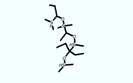 CCC(O[Si](C)(C)C(C)O[SiH](C)C(CC)(CC)O[SiH](C)C)[SiH](C)C